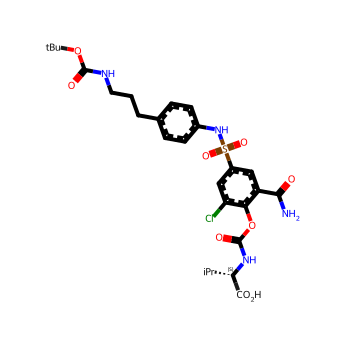 CC(C)[C@H](NC(=O)Oc1c(Cl)cc(S(=O)(=O)Nc2ccc(CCCNC(=O)OC(C)(C)C)cc2)cc1C(N)=O)C(=O)O